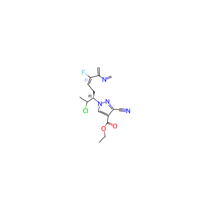 C=NC(=C)/C(F)=C\C[C@H](C(C)Cl)n1cc(C(=O)OCC)c(C#N)n1